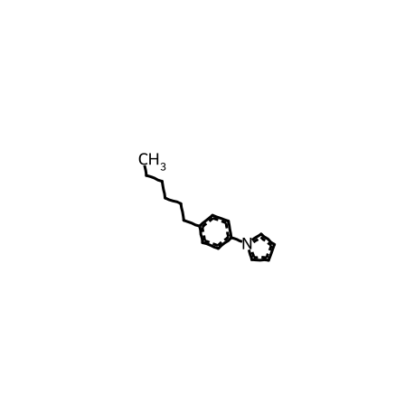 CCCCCCc1ccc(-n2cccc2)cc1